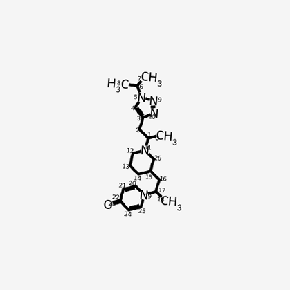 CC(Cc1cn(C(C)C)nn1)N1CCCC(CC(C)n2ccc(=O)cc2)C1